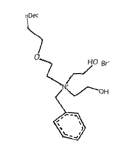 CCCCCCCCCCCCOCC[N+](CCO)(CCO)Cc1ccccc1.[Br-]